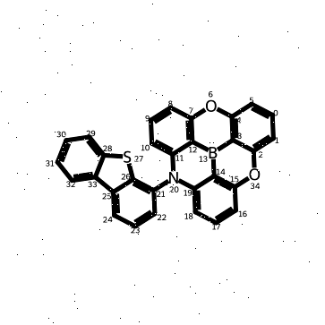 c1cc2c3c(c1)Oc1cccc4c1B3c1c(cccc1N4c1cccc3c1sc1ccccc13)O2